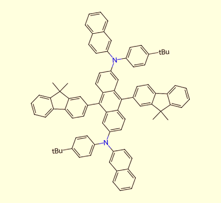 CC(C)(C)c1ccc(N(c2ccc3ccccc3c2)c2ccc3c(-c4ccc5c(c4)C(C)(C)c4ccccc4-5)c4cc(N(c5ccc(C(C)(C)C)cc5)c5ccc6ccccc6c5)ccc4c(-c4ccc5c(c4)C(C)(C)c4ccccc4-5)c3c2)cc1